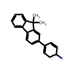 CC1(C)c2ccccc2-c2ccc(C3=CCC(I)C=C3)cc21